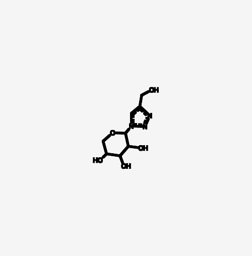 OCc1cn(C2OCC(O)C(O)C2O)nn1